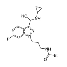 CCC(=O)NCCCn1nc(C(O)NC2CC2)c2ccc(F)cc21